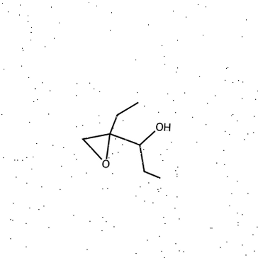 CCC(O)C1(CC)CO1